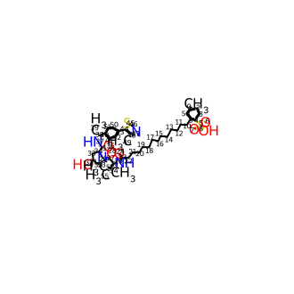 Cc1ccc(S(=O)(=O)O)c(CCCCCCCCCCCCCC(=O)N[C@H](C(=O)N2C[C@H](O)C[C@H]2C(=O)N[C@@H](C)c2ccc(-c3scnc3C)cc2)C(C)(C)C)c1